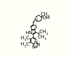 Cc1c(-c2[nH]c3cc(CN4CCC(C)(O)CC4)sc3c2C(C)C)cn2ncnc2c1C